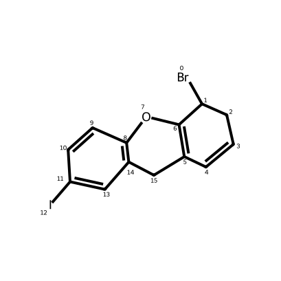 BrC1CC=CC2=C1Oc1ccc(I)cc1C2